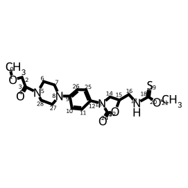 COCC(=O)N1CCN(c2ccc(N3CC(CNC(=S)OC)OC3=O)cc2)CC1